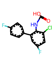 O=C(O)Nc1c(Cl)cc(F)cc1-c1ccc(F)cc1